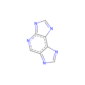 C1=Nc2c3c(ncc2=N1)=NC=N3